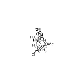 CO[C@H]1C[C@H]2C=C[C@H]3[C@H]4O[C@]2(/C(C)=C/[C@@H](C)[C@@H]([C@@H](C)OC(=O)CCCCl)OC1=O)[C@@H]3[C@H](O)[C@@H](C)[C@H]4OC(=O)c1ccc[nH]1